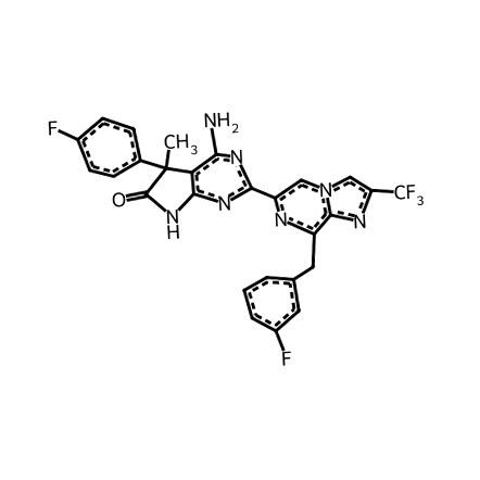 CC1(c2ccc(F)cc2)C(=O)Nc2nc(-c3cn4cc(C(F)(F)F)nc4c(Cc4cccc(F)c4)n3)nc(N)c21